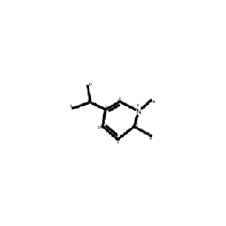 CC(C)C1=CN(C)C(C)C=C1